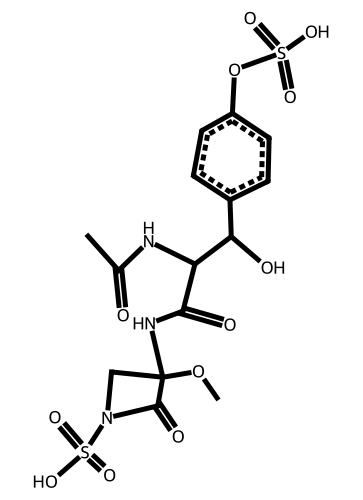 COC1(NC(=O)C(NC(C)=O)C(O)c2ccc(OS(=O)(=O)O)cc2)CN(S(=O)(=O)O)C1=O